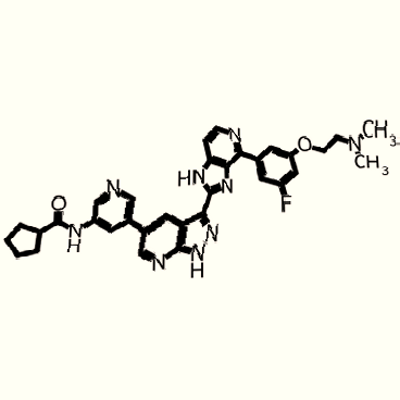 CN(C)CCOc1cc(F)cc(-c2nccc3[nH]c(-c4n[nH]c5ncc(-c6cncc(NC(=O)C7CCCC7)c6)cc45)nc23)c1